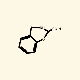 O=C(O)C1NCc2ccccc2O1